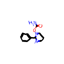 NC(=O)ON1C=CC=NC1c1ccccc1